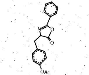 CC(=O)Oc1ccc(CC2N=C(c3ccccc3)OC2=O)cc1